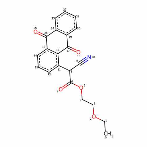 CCOCCOC(=O)C(C#N)c1cccc2c1C(=O)c1ccccc1C2=O